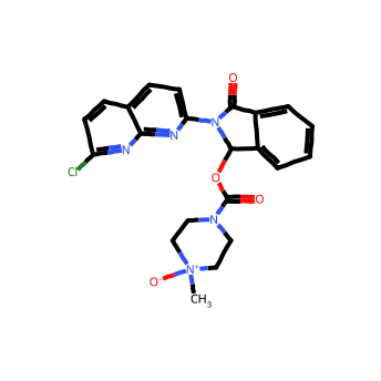 C[N+]1([O-])CCN(C(=O)OC2c3ccccc3C(=O)N2c2ccc3ccc(Cl)nc3n2)CC1